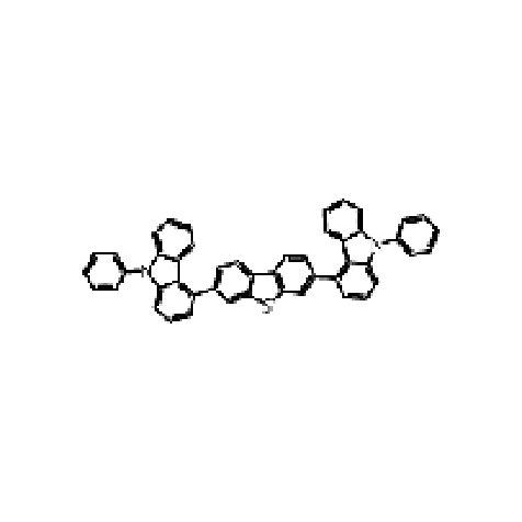 c1ccc(-n2c3ccccc3c3c(-c4ccc5c(c4)sc4cc(-c6cccc7c6c6ccccc6n7-c6ccccc6)ccc45)cccc32)cc1